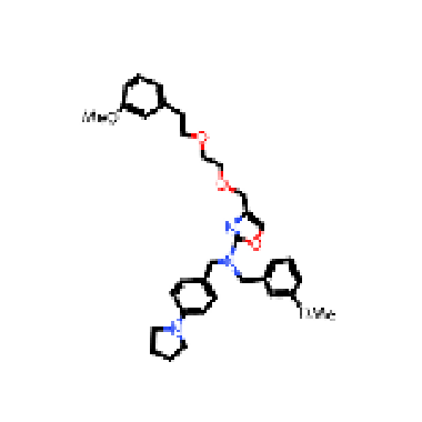 COc1cccc(CCOCCOCc2coc(N(Cc3ccc(N4CCCC4)cc3)Cc3cccc(OC)c3)n2)c1